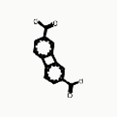 O=C(Cl)c1ccc2c(c1)-c1cc(C(=O)Cl)ccc1-2